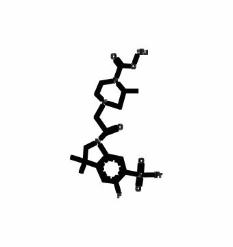 CC1CN(CC(=O)N2CC(C)(C)c3cc(F)c(S(=O)(=O)C(C)C)cc32)CCN1C(=O)OC(C)(C)C